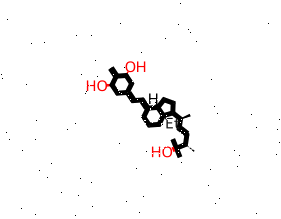 C=C1[C@H](O)CC(=C/C=C2\CCC[C@]3(CC)C([C@@H](C)/C=C/[C@H](C)C(C)(C)O)CC[C@@H]23)C[C@H]1O